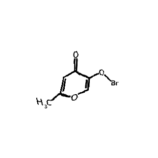 Cc1cc(=O)c(OBr)co1